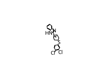 Clc1ccc(SC2CCN(c3nc4ccccc4[nH]3)CC2)cc1Cl